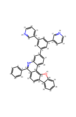 c1ccc(-c2nc3cc(-c4cc(-c5cccnc5)cc(-c5cccnc5)c4)ccc3c3c2ccc2c4ccccc4oc23)cc1